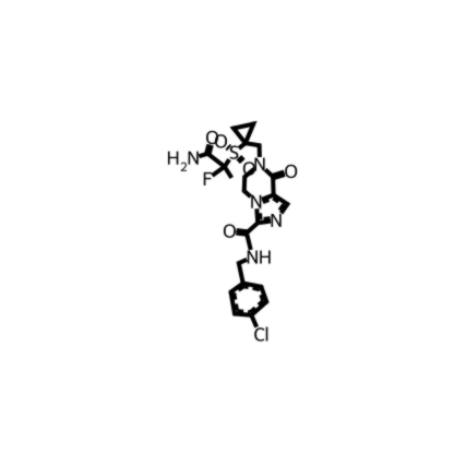 CC(F)(C(N)=O)S(=O)(=O)C1(CN2CCn3c(cnc3C(=O)NCc3ccc(Cl)cc3)C2=O)CC1